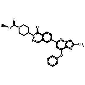 Cc1cn2nc(-c3ccc4c(=O)n(C5CCN(C(=O)OC(C)(C)C)CC5)ncc4c3)cc(Oc3ccccc3)c2n1